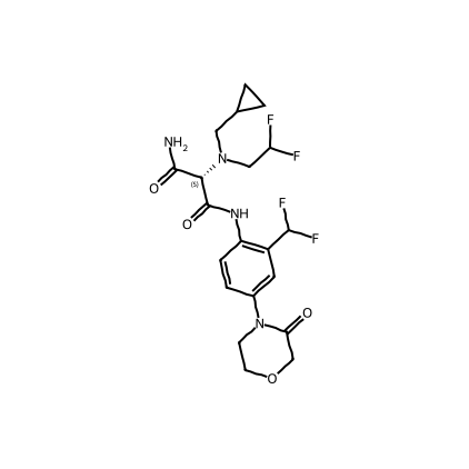 NC(=O)[C@@H](C(=O)Nc1ccc(N2CCOCC2=O)cc1C(F)F)N(CC(F)F)CC1CC1